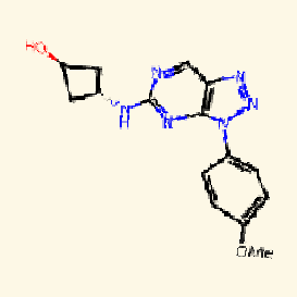 COc1ccc(-n2nnc3cnc(N[C@H]4C[C@H](O)C4)nc32)cc1